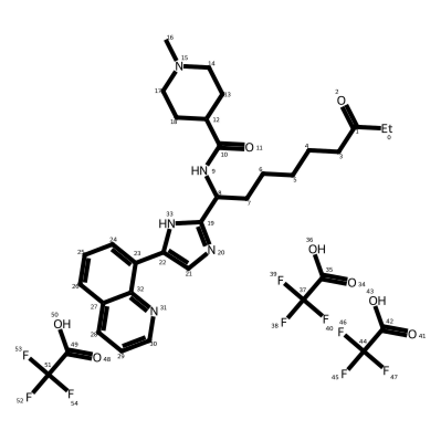 CCC(=O)CCCCCC(NC(=O)C1CCN(C)CC1)c1ncc(-c2cccc3cccnc23)[nH]1.O=C(O)C(F)(F)F.O=C(O)C(F)(F)F.O=C(O)C(F)(F)F